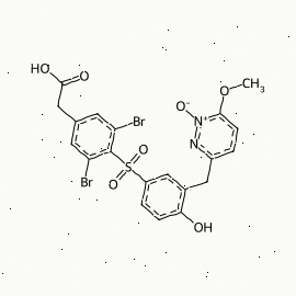 COc1ccc(Cc2cc(S(=O)(=O)c3c(Br)cc(CC(=O)O)cc3Br)ccc2O)n[n+]1[O-]